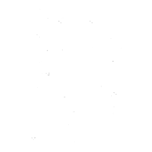 COc1cc(CNC(=O)c2cc(C3=NOC(CC4CCN(C(C)=O)CC4)C3)nc(C)n2)ccc1F